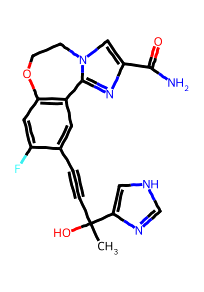 CC(O)(C#Cc1cc2c(cc1F)OCCn1cc(C(N)=O)nc1-2)c1c[nH]cn1